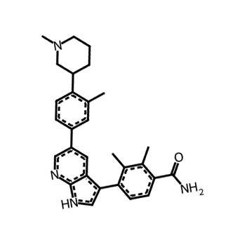 Cc1cc(-c2cnc3[nH]cc(-c4ccc(C(N)=O)c(C)c4C)c3c2)ccc1C1CCCN(C)C1